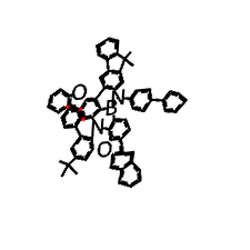 CC(C)(C)c1ccc(N2c3cc4c(oc5ccccc54)c4c3B(c3ccc5c(oc6cc7ccccc7cc65)c32)N(c2ccc(-c3ccccc3)cc2)c2cc3c(cc2-4)-c2ccccc2C3(C)C)c(-c2ccccc2)c1